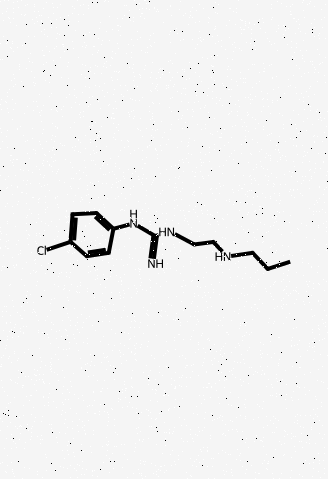 CCCNCCNC(=N)Nc1ccc(Cl)cc1